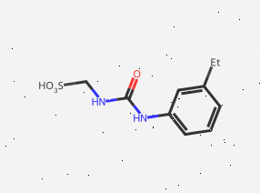 CCc1cccc(NC(=O)NCS(=O)(=O)O)c1